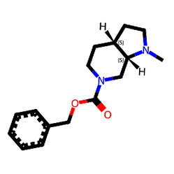 CN1CC[C@H]2CCN(C(=O)OCc3ccccc3)C[C@H]21